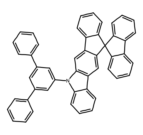 c1ccc(-c2cc(-c3ccccc3)cc(-n3c4ccccc4c4cc5c(cc43)-c3ccccc3C53c4ccccc4-c4ccccc43)c2)cc1